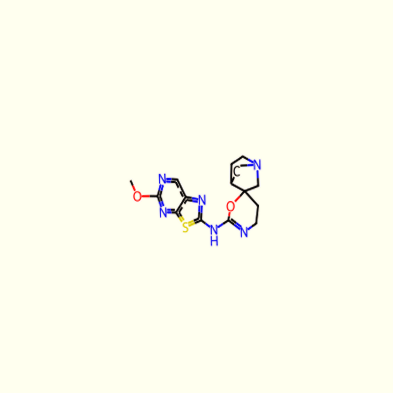 COc1ncc2nc(NC3=NCCC4(CN5CCC4CC5)O3)sc2n1